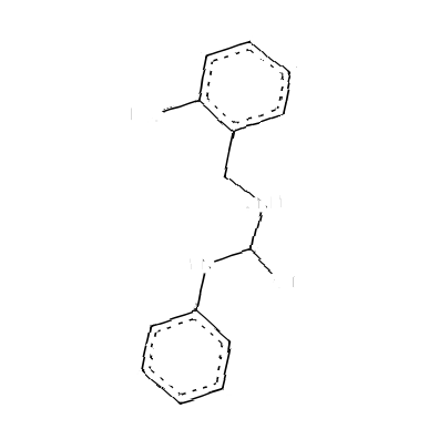 Cc1ccccc1CNC(C)Nc1ccccc1